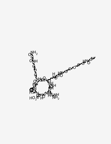 CC=NOCC(=O)NCCOCCOCCOCCOCCOCCNC(=O)COCC(=O)NCCCC[C@@H]1NC(=O)CSC[C@@H](C(=O)NCCOCCOCCOCCNC(=O)COCC(N)=O)NC(=O)[C@H](Cc2ccccc2)NC(=O)[C@H](CS)NC(=O)[C@H](CC(=O)O)NC(=O)CNC(=O)[C@H](CCCNC(=N)N)NC(=O)[C@H](CS)NC1=O